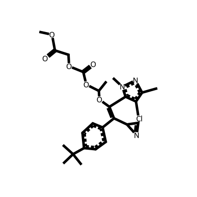 COC(=O)COC(=O)OC(C)O/C(=C(\c1ccc(C(C)(C)C)cc1)C1C=N1)c1c(Cl)c(C)nn1C